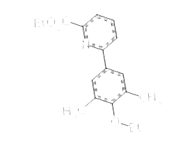 CCOC(=O)c1cccc(-c2cc(C)c(OCC)c(C)c2)n1